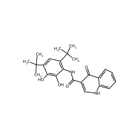 CC(C)(C)c1cc(C(C)(C)C)c(NC(=O)c2c[nH]c3ccccc3c2=O)c(O)c1O